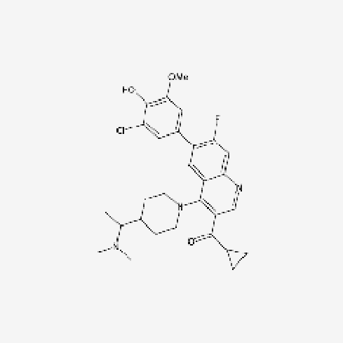 COc1cc(-c2cc3c(N4CCC(C(C)N(C)C)CC4)c(C(=O)C4CC4)cnc3cc2F)cc(Cl)c1O